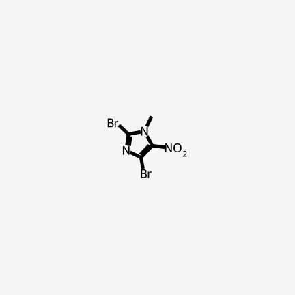 Cn1c(Br)nc(Br)c1[N+](=O)[O-]